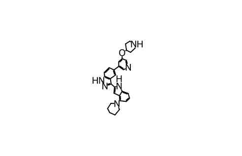 c1cc(N2CCCCC2)c2cc(-c3n[nH]c4ccc(-c5cncc(OC6CCNCC6)c5)cc34)[nH]c2c1